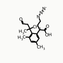 Cc1cc(C)c(C(C)(C)CC=O)c(C(CCN=[N+]=[N-])C(=O)O)c1